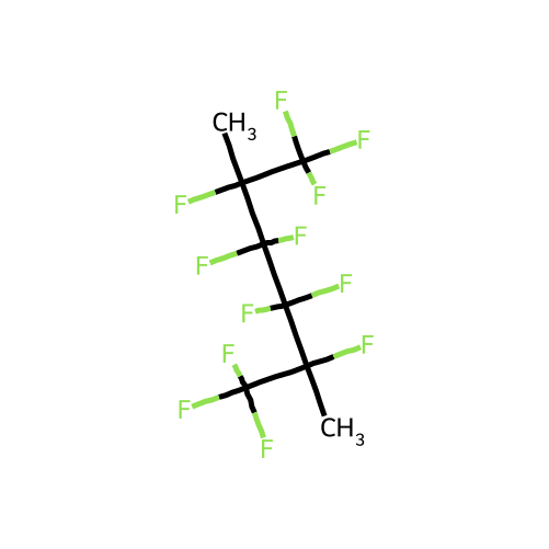 CC(F)(C(F)(F)F)C(F)(F)C(F)(F)C(C)(F)C(F)(F)F